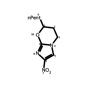 CCCCCC1CCn2cc([N+](=O)[O-])nc2O1